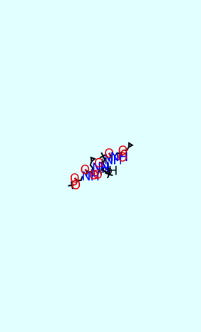 CC(C)(C)OC(=O)CCNC(=O)C(=O)C(CC1CC1)NC(=O)[C@@H]1C2[C@H](CN1C(=O)[C@@H](NC(=O)NCC(=O)OCC1CC1)C(C)(C)C)C2(C)C